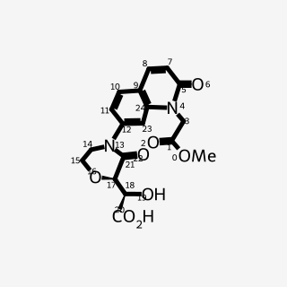 COC(=O)Cn1c(=O)ccc2ccc(N3CCO[C@H]([C@@H](O)C(=O)O)C3=O)cc21